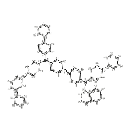 c1ccc(-c2ccc(N(c3ccc(-c4ccc(N(c5ccc(-c6ccccc6)cc5)c5cccc6ccccc56)cc4)cc3)c3ccc(-c4cccc(-c5ccccc5)c4)cc3)cc2)cc1